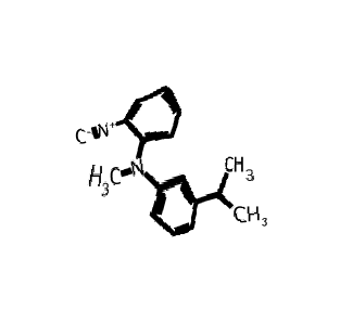 [C-]#[N+]c1ccccc1N(C)c1cccc(C(C)C)c1